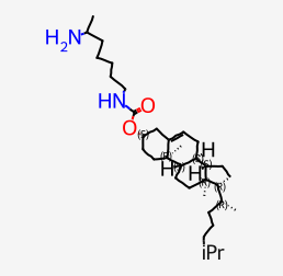 CC(C)CCC[C@@H](C)[C@H]1CC[C@H]2[C@@H]3CC=C4C[C@@H](OC(=O)NCCCCCC(C)N)CC[C@]4(C)[C@H]3CC[C@]12C